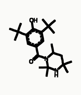 CC1CC(C)(C)NC(C)(C)N1C(=O)c1cc(C(C)(C)C)c(O)c(C(C)(C)C)c1